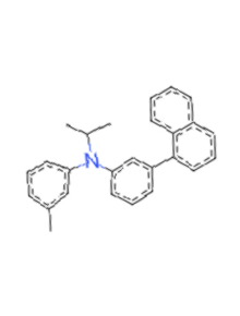 Cc1cccc(N(c2cccc(-c3cccc4ccccc34)c2)C(C)C)c1